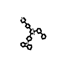 c1ccc(-c2cccc(-c3nc(-c4ccc(-c5ccncc5)cc4)cc(-c4ccc(-n5c6ccccc6c6ccccc65)cc4)n3)c2)cc1